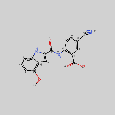 COc1cccc2[nH]c(C(=O)Nc3ccc(C#N)cc3C(=O)O)cc12